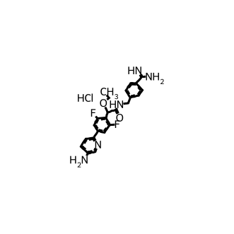 CCOC(C(=O)NCc1ccc(C(=N)N)cc1)c1c(F)cc(-c2ccc(N)cn2)cc1F.Cl